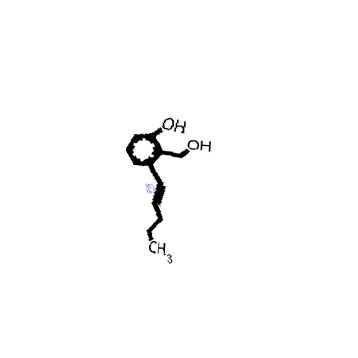 CCC/C=C/c1cccc(O)c1CO